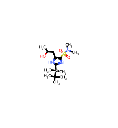 CC(O)Cc1[nH]c([Si](C)(C)C(C)(C)C)nc1S(=O)(=O)N(C)C